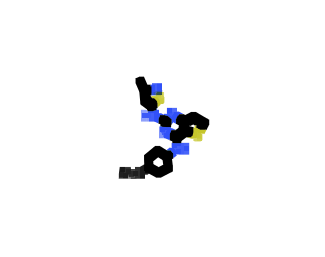 CNC1CCC(Nc2nc(Nc3cc(C)ns3)nc3ccsc23)CC1